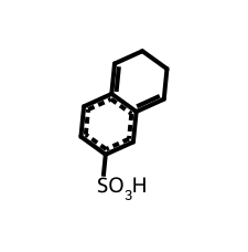 O=S(=O)(O)c1ccc2c(c1)=CCCC=2